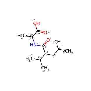 CC(C)CC(C(=O)N[C@@H](C)C(=O)O)C(C)C